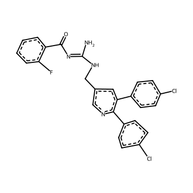 N/C(=N\C(=O)c1ccccc1F)NCc1cnc(-c2ccc(Cl)cc2)c(-c2ccc(Cl)cc2)c1